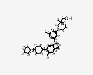 Cc1nc(N2CCOC(C)(CO)C2)cc(-n2ncc3cc(C)c(C4CCN([C@H]5CCOC5)CC4)cc32)n1